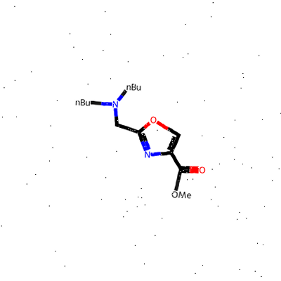 CCCCN(CCCC)Cc1nc(C(=O)OC)co1